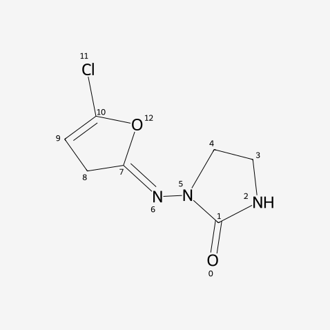 O=C1NCCN1N=C1CC=C(Cl)O1